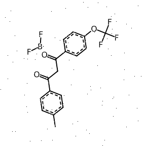 Cc1ccc(C(=O)CC(=O)c2ccc(OC(F)(F)F)cc2)cc1.F[B]F